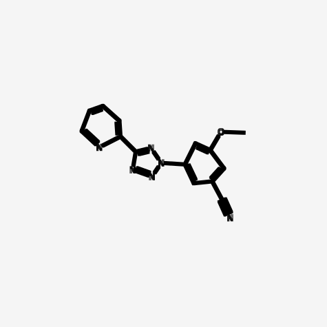 COc1cc(C#N)cc(-n2nnc(-c3ccccn3)n2)c1